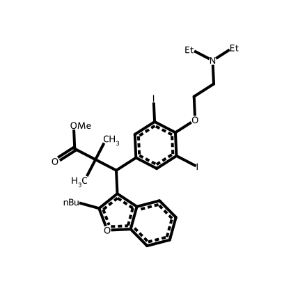 CCCCc1oc2ccccc2c1C(c1cc(I)c(OCCN(CC)CC)c(I)c1)C(C)(C)C(=O)OC